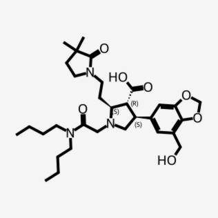 CCCCN(CCCC)C(=O)CN1C[C@H](c2cc(CO)c3c(c2)OCO3)[C@@H](C(=O)O)[C@@H]1CCN1CCC(C)(C)C1=O